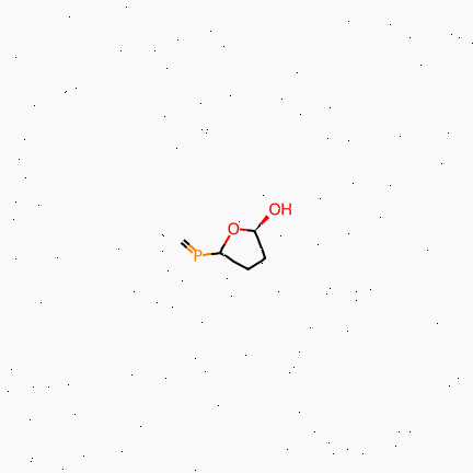 C=PC1CC[C@H](O)O1